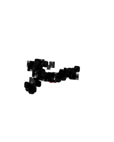 C[C@]12C=CC(=O)C=C1CC[C@@H]1[C@@H]2[C@@H](O)C[C@@]2(C)[C@H]1C[C@H]1O[C@@H](c3ccc(CC45CC(NC(=O)OCc6ccc(O[C@@H]7O[C@H](C(=O)O)[C@@H](O)[C@H](O)[C@H]7O)c(NC(=O)CCNC(=O)CCC(=O)ON7C(=O)CCC7=O)c6)(C4)C5)cc3)O[C@]12C(=O)CO